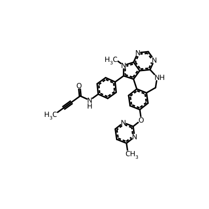 CC#CC(=O)Nc1ccc(-c2c3c4c(ncnc4n2C)NCc2cc(Oc4nccc(C)n4)ccc2-3)cc1